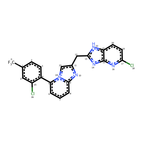 FC(F)(F)c1ccc(-c2cccc3nc(Cc4nc5nc(Cl)ccc5[nH]4)cn23)c(Cl)c1